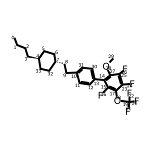 CCCC[C@H]1CC[C@H](CCc2ccc(-c3c(F)c(OC(F)(F)F)c(F)c(F)c3OC)cc2)CC1